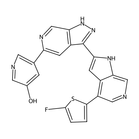 Oc1cncc(-c2cc3c(-c4cc5c(-c6ccc(F)s6)cncc5[nH]4)n[nH]c3cn2)c1